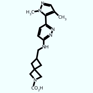 Cc1cnn(C)c1-c1ccc(NCC2CC3(C2)CN(C(=O)O)C3)nn1